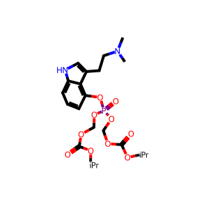 CC(C)OC(=O)OCOP(=O)(OCOC(=O)OC(C)C)Oc1cccc2[nH]cc(CCN(C)C)c12